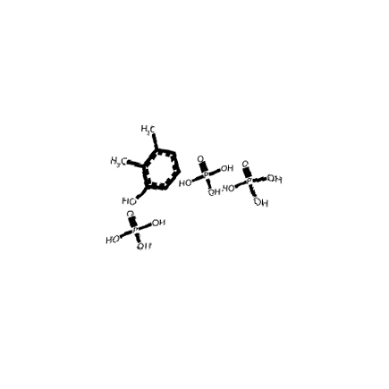 Cc1cccc(O)c1C.O=P(O)(O)O.O=P(O)(O)O.O=P(O)(O)O